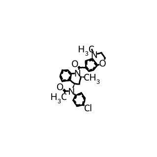 CC(=O)N(c1ccc(Cl)cc1)[C@@H]1C[C@H](C)N(C(=O)c2ccc3c(c2)N(C)CCO3)c2ccccc21